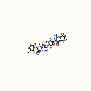 Cc1ccc(C)c(N2CC(C(=O)Nc3ccc(NC(=O)c4ccccc4)cc3)CC2=O)c1